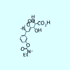 CCN(C)C(=O)Oc1cccc([C@H](/C=C(\OO)[C@H](O)[C@@H](O)C(=O)O)N(C)C)c1